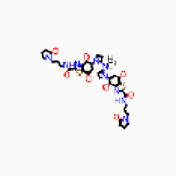 CN(C1CCN1C1=CC(=O)c2sc(C(=O)NCCCN3CCCC3=O)nc2C1=O)C1CCN1C1=CC(=O)c2sc(C(=O)NCCCN3CCCC3=O)nc2C1=O